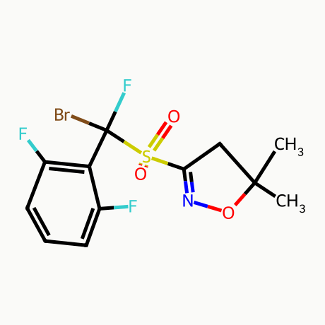 CC1(C)CC(S(=O)(=O)C(F)(Br)c2c(F)cccc2F)=NO1